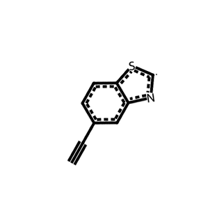 C#Cc1ccc2s[c]nc2c1